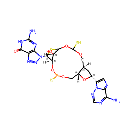 Nc1nc2c(nnn2[C@@H]2SC3OC(S)OC[C@H]4C[C@H](c5cnc6c(N)ncnn56)O[C@@H]4COP(S)O[C@@H]2[C@@H]3O)c(=O)[nH]1